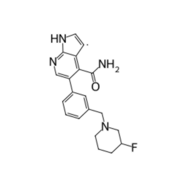 NC(=O)c1c(-c2cccc(CN3CCCC(F)C3)c2)cnc2[nH]c[c]c12